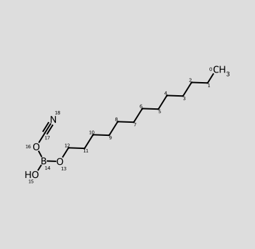 CCCCCCCCCCCCCOB(O)OC#N